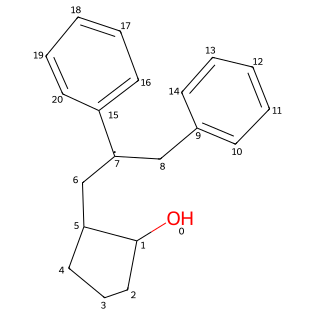 OC1CCCC1C[C](Cc1ccccc1)c1ccccc1